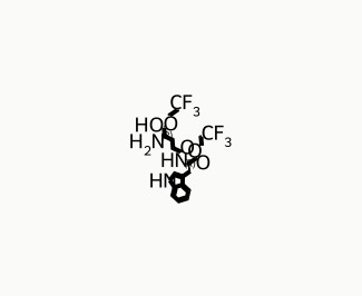 N[C@H](CCC(=O)N[C@H](Cc1c[nH]c2ccccc12)C(=O)OCCC(F)(F)F)C(O)OCCC(F)(F)F